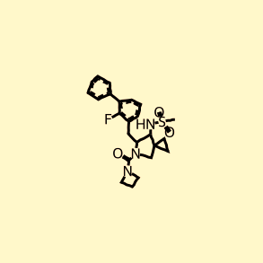 CS(=O)(=O)NC1C(Cc2cccc(-c3ccccc3)c2F)N(C(=O)N2CCC2)CC12CC2